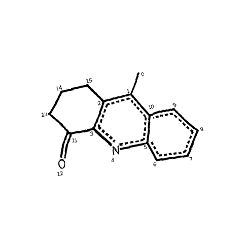 Cc1c2c(nc3ccccc13)C(=O)CCC2